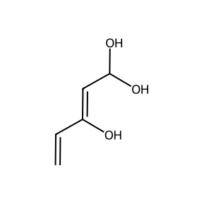 C=CC(O)=CC(O)O